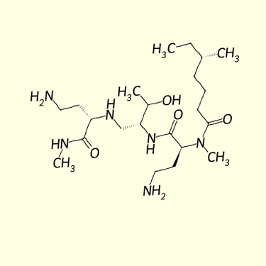 CC[C@H](C)CCCC(=O)N(C)[C@@H](CCN)C(=O)N[C@H](CN[C@@H](CCN)C(=O)NC)C(C)O